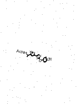 CC(=O)NC(C)c1cc(-c2cnc(Oc3ccc(O)cc3)s2)no1